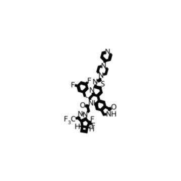 O=C(Cn1nc(C(F)(F)F)c2c1C(F)(F)[C@@H]1C=C[C@H]21)N[C@H](Cc1cc(F)cc(F)c1)c1nc2nc(N3CCN(c4ccncc4)CC3)sc2cc1-c1ccc2c(c1)C(=O)NC2